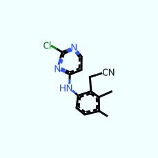 Cc1ccc(Nc2ccnc(Cl)n2)c(CC#N)c1C